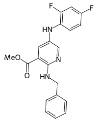 COC(=O)c1cc(Nc2ccc(F)cc2F)cnc1NCc1ccccc1